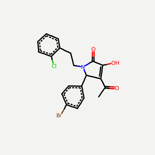 CC(=O)C1=C(O)C(=O)N(CCc2ccccc2Cl)C1c1ccc(Br)cc1